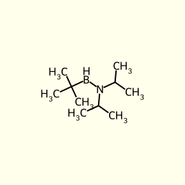 CC(C)N(BC(C)(C)C)C(C)C